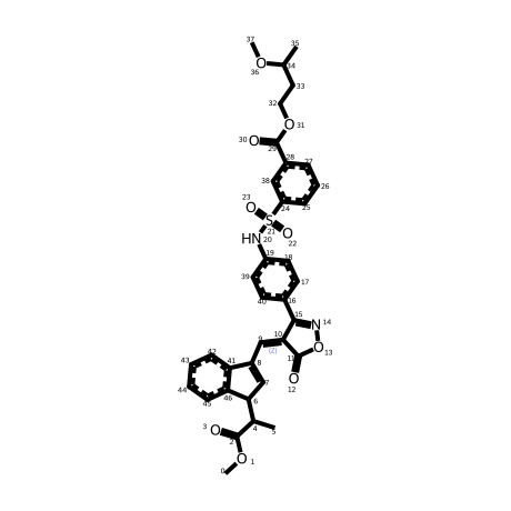 COC(=O)C(C)C1C=C(/C=C2\C(=O)ON=C2c2ccc(NS(=O)(=O)c3cccc(C(=O)OCCC(C)OC)c3)cc2)c2ccccc21